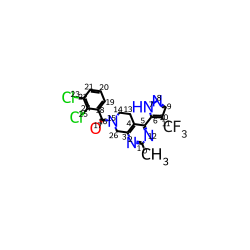 Cc1nc2c(c(-c3[nH]ncc3C(F)(F)F)n1)CCN(C(=O)c1cccc(Cl)c1Cl)C2